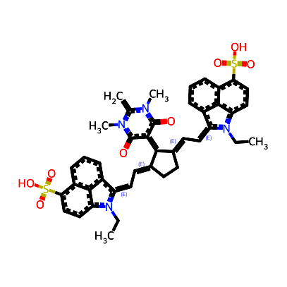 C=c1n(C)c(=O)c(=C2/C(=C/C=c3\c4cccc5c(S(=O)(=O)O)ccc(c54)n3CC)CC/C2=C\C=c2/c3cccc4c(S(=O)(=O)O)ccc(c43)n2CC)c(=O)n1C